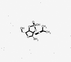 B[C@@H]1O[C@H](CO)C2OP(=O)(O)O[C@]21C=C=C(C)C